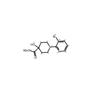 COC(=O)C1(O)CCN(c2ncccc2Br)CC1